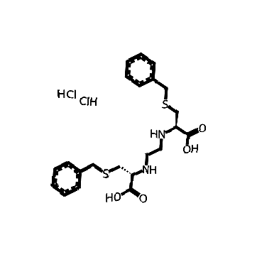 Cl.Cl.O=C(O)[C@H](CSCc1ccccc1)NCCN[C@@H](CSCc1ccccc1)C(=O)O